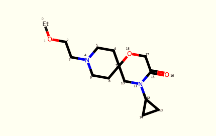 CCOCCN1CCC2(CC1)CN(C1CC1)C(=O)CO2